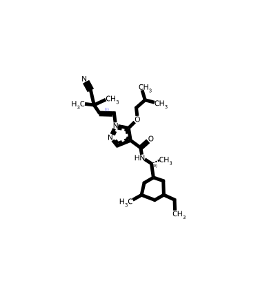 CCC1CC(C)CC([C@@H](C)NC(=O)c2cnn(/C=C/C(C)(C)C#N)c2OCC(C)C)C1